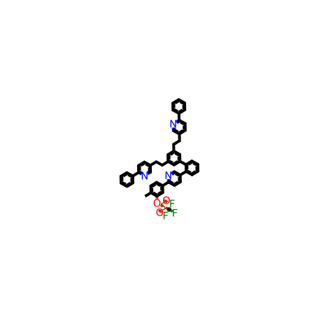 Cc1ccc(-c2ccc(-c3ccccc3-c3cc(CCc4ccc(-c5ccccc5)nc4)cc(CCc4ccc(-c5ccccc5)nc4)c3)cn2)cc1OS(=O)(=O)C(F)(F)F